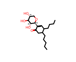 CCCCCC1CC(=O)C([C@@H]2OC[C@@H](O)C(O)[C@H]2O)=CC1CCCC